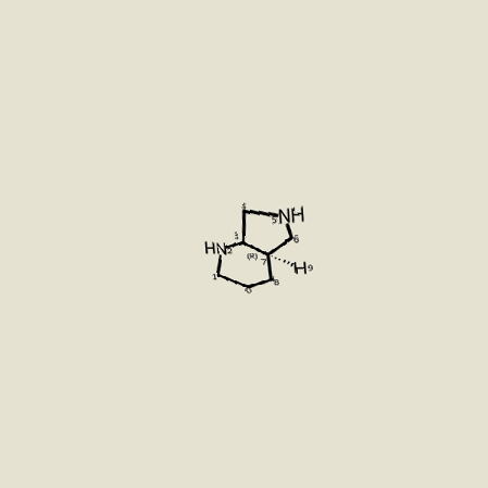 C1CNC2CNC[C@H]2C1